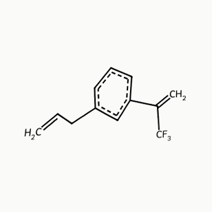 C=CCc1cccc(C(=C)C(F)(F)F)c1